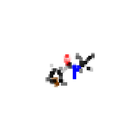 CC(C)(C)NC(=O)c1ccsc1